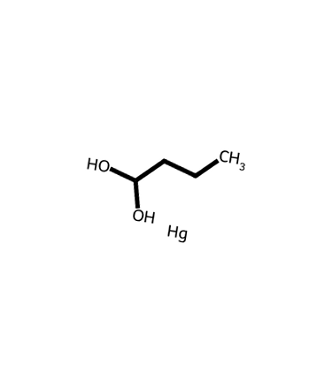 CCCC(O)O.[Hg]